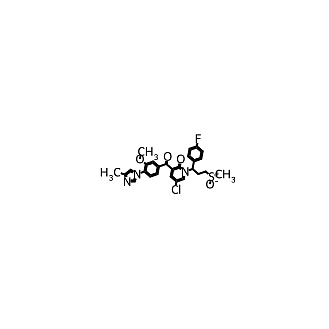 COc1cc(C(=O)c2cc(Cl)cn(C(CC[S@@+](C)[O-])c3ccc(F)cc3)c2=O)ccc1-n1cnc(C)c1